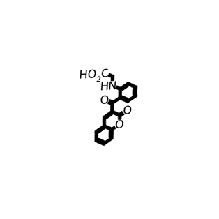 O=C(O)CNc1ccccc1C(=O)c1cc2ccccc2oc1=O